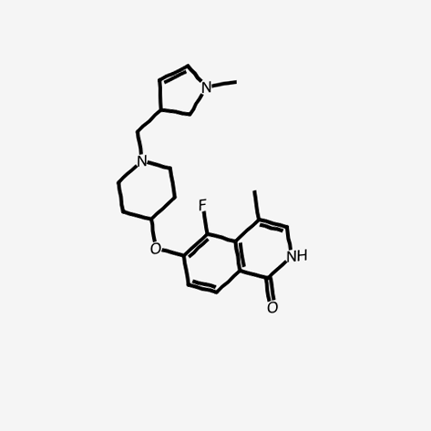 Cc1c[nH]c(=O)c2ccc(OC3CCN(CC4C=CN(C)C4)CC3)c(F)c12